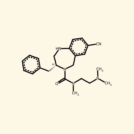 CN(C)CCN(C)C(=O)N1Cc2cc(C#N)ccc2NC[C@H]1Cc1ccccc1